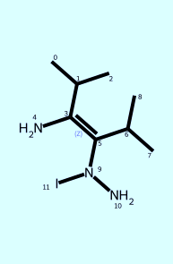 CC(C)/C(N)=C(\C(C)C)N(N)I